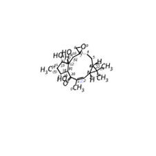 C/C1=C/[C@@H]2[C@H](CC[C@@]3(CO3)[C@@H](O)[C@H]3[C@@H](O)[C@@H](C)C[C@]3(O)C1=O)C2(C)C